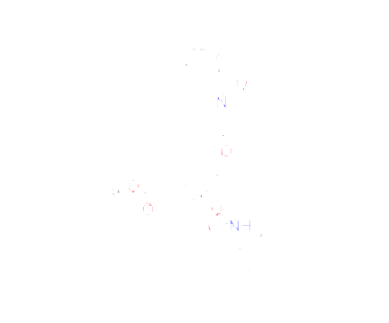 Cc1oc(-c2ccccc2)nc1CCOc1ccc(CCC(=O)OC(C)(C)C)c(COC(=O)NCc2ccccc2)c1